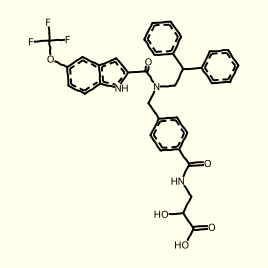 O=C(NCC(O)C(=O)O)c1ccc(CN(CC(c2ccccc2)c2ccccc2)C(=O)c2cc3cc(OC(F)(F)F)ccc3[nH]2)cc1